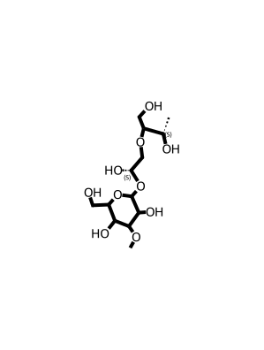 COC1C(O)C(CO)OC(O[C@H](O)COC(CO)[C@H](C)O)C1O